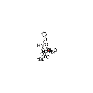 CC(C)(C)OC(=O)C(=C(O)CBr)[N+]1([O-])CC(NC(=O)COc2ccccc2)C1SC=O